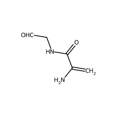 C=C(N)C(=O)NCC=O